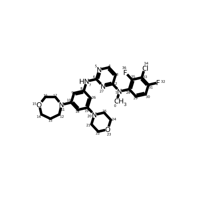 CN(c1ccnc(Nc2cc(N3CCCOCC3)cc(N3CCOCC3)c2)n1)c1ccc(F)c(Cl)c1F